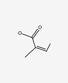 CC=C(C)C([O])=O